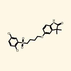 CC1(C)C(=O)Nc2ccc(OCCCCS(=O)(=O)c3cc(Cl)ccc3Cl)cc21